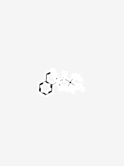 CC(C)(C)NS(=O)(=O)c1ccccc1C=O